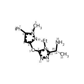 CCn1c(Oc2cc(C(C)C)n(C)n2)nnc1[C@@H](C)N